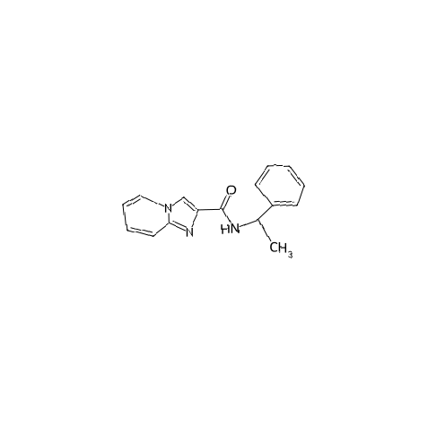 CC(NC(=O)c1cn2ccccc2n1)c1ccccc1